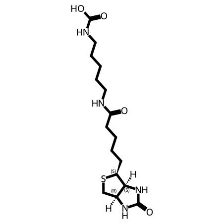 O=C(O)NCCCCCNC(=O)CCCC[C@@H]1SC[C@@H]2NC(=O)N[C@@H]21